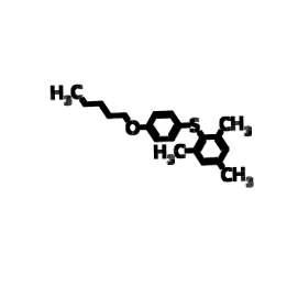 CCCCCOc1ccc(Sc2c(C)cc(C)cc2C)cc1